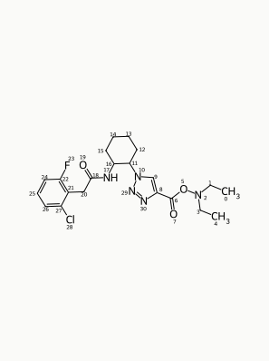 CCN(CC)OC(=O)c1cn(C2CCCCC2NC(=O)Cc2c(F)cccc2Cl)nn1